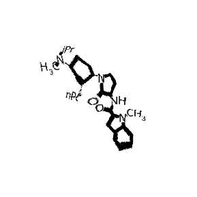 CCC[C@@H]1C[C@H](N(C)C(C)C)CC[C@@H]1N1CCC(NC(=O)c2cc3ccccc3n2C)C1=O